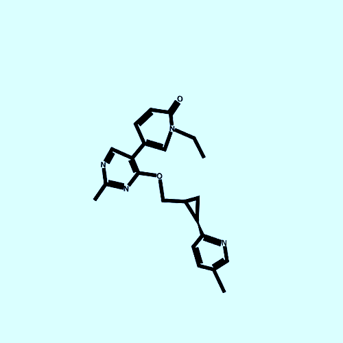 CCn1cc(-c2cnc(C)nc2OCC2C[C@H]2c2ccc(C)cn2)ccc1=O